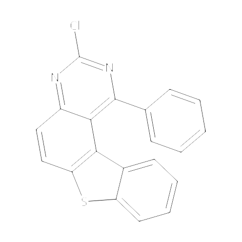 Clc1nc(-c2ccccc2)c2c(ccc3sc4ccccc4c32)n1